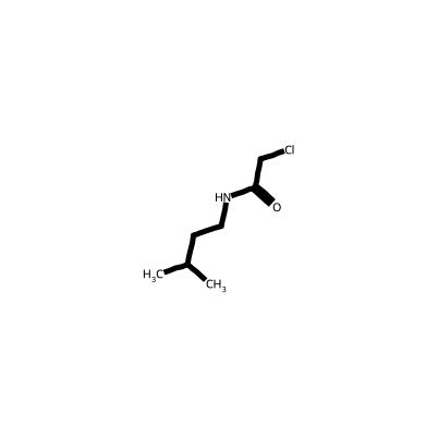 CC(C)CCNC(=O)CCl